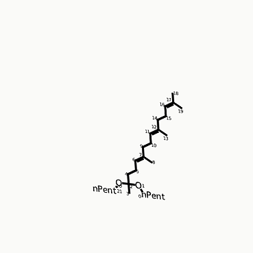 CCCCCOC(C)(CC/C=C(\C)CC/C=C(\C)CCC=C(C)C)OCCCCC